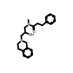 CN(CC(O)CN1CCc2ccccc2C1)C(=O)CCc1ccccc1